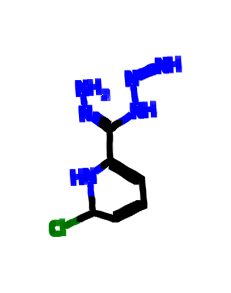 N=NNC(=NN)C1=CC=CC(Cl)N1